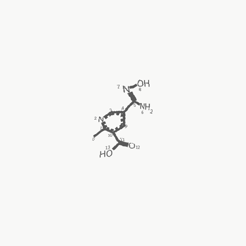 Cc1ncc(C(N)=NO)cc1C(=O)O